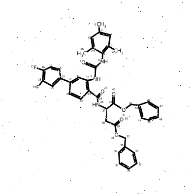 Cc1cc(C)c(NC(=O)Nc2cc(-c3ccc(F)c(F)c3)ccc2C(=O)N[C@H](CC(=O)OCc2ccccc2)C(=O)OCc2ccccc2)c(C)c1